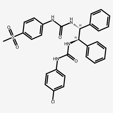 CS(=O)(=O)c1ccc(NC(=O)N[C@H](c2ccccc2)[C@H](NC(=O)Nc2ccc(Cl)cc2)c2ccccc2)cc1